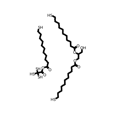 O=C(CCCCCCCCCCS)OC(=O)C(S)(S)S.O=C(CCCCCCCCCCS)OCC(CO)OC(=O)CCCCCCCCCCS